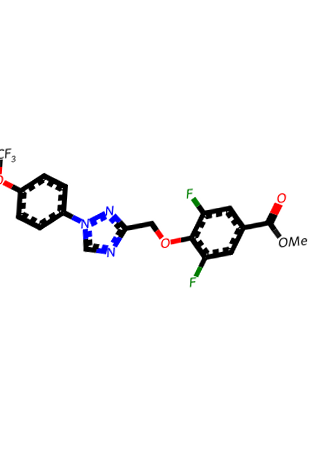 COC(=O)c1cc(F)c(OCc2ncn(-c3ccc(OC(F)(F)F)cc3)n2)c(F)c1